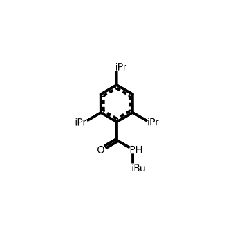 CCC(C)PC(=O)c1c(C(C)C)cc(C(C)C)cc1C(C)C